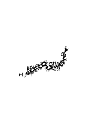 CCOc1cc(OC2CCc3c(-c4cccc(NC(=O)c5nc6c(n5C)CCN(C(C)COC(=O)C5CC5)C6)c4Cl)cccc32)c(Cl)c(F)c1CN